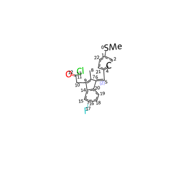 CSc1ccc(/C=C2\C(C)=C(CC(=O)Cl)c3cc(F)ccc32)cc1